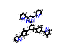 c1cnc(-c2cc(-c3ccccn3)nc(-c3cc(-c4ccc(-c5ccccn5)cc4)cc(-c4ccc(-c5ccccn5)cc4)c3)n2)cc#1